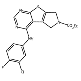 CCOC(=O)N1Cc2sc3ncnc(Nc4ccc(F)c(Cl)c4)c3c2C1